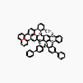 FC(F)(F)c1cccc(-c2ccc(-c3ccccc3)cc2)c1N1c2ccc(-c3ccccc3)cc2B2c3cc(-c4ccccc4)ccc3N3c4ccc(-c5ccccc5)cc4B4c5ccccc5Sc5cc1c2c3c54